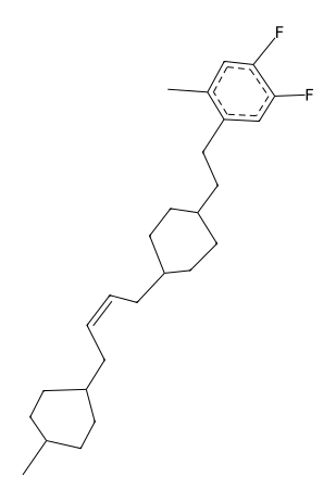 Cc1cc(F)c(F)cc1CCC1CCC(C/C=C\CC2CCC(C)CC2)CC1